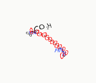 O=C(O)CC[C@H](NC(=O)CCOCCOCCOCCOCCOCCOCCOCCOCCNC(=O)CCN1C(=O)C=CC1=O)C(=O)OCC1c2ccccc2-c2ccccc21